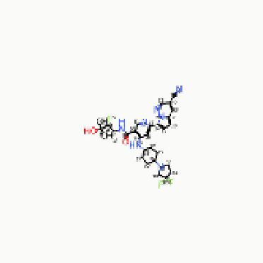 CC(C)(O)[C@H](F)CNC(=O)c1cnc(-c2ccc3cc(C#N)cnn23)cc1N[C@H]1CC[C@H](N2CCC(F)(F)C2)CC1